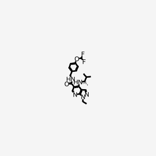 CCn1ncc2c(N[C@@H](C)C(C)C)c(C(=O)NCc3ccc(OC(F)F)cc3)cnc21